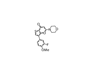 COc1ccc(-c2csc3c(=O)cc(N4CCOCC4)oc23)cc1F